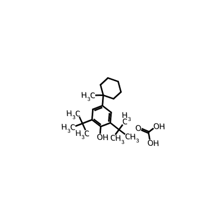 CC(C)(C)c1cc(C2(C)CCCCC2)cc(C(C)(C)C)c1O.O=C(O)O